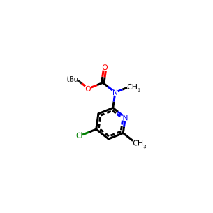 Cc1cc(Cl)cc(N(C)C(=O)OC(C)(C)C)n1